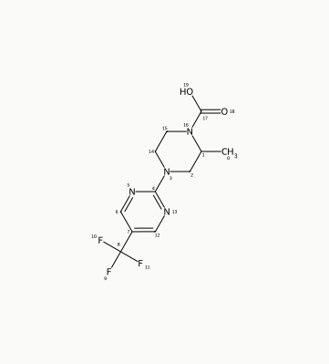 CC1CN(c2ncc(C(F)(F)F)cn2)CCN1C(=O)O